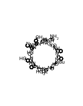 CCCC[C@H]1C(=O)N(C)CC(=O)N[C@@H](CC(=O)O)C(=O)N[C@@H](C(C)C)C(=O)N(C)[C@@H](Cc2ccccc2)C(=O)N[C@@H](Cc2ccc(O)cc2)C(=O)N(C)CC(=O)NC(Cc2c[nH]c3ncccc23)C(=O)N[C@@H](Cc2ccc(O)cc2)C(=O)N[C@@H](CC(C)C)C(=O)N[C@H](C(=O)NCC(N)=O)CSCC(=O)NC(Cc2ccccc2)C(=O)N(C)[C@@H](Cc2ccccc2)C(=O)N1C